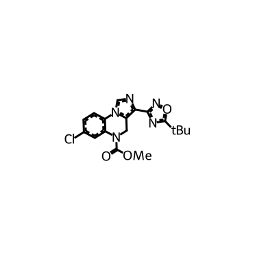 COC(=O)N1Cc2c(-c3noc(C(C)(C)C)n3)ncn2-c2ccc(Cl)cc21